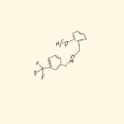 COc1ccccc1CO/N=[C]\c1cccc(C(F)(F)F)c1